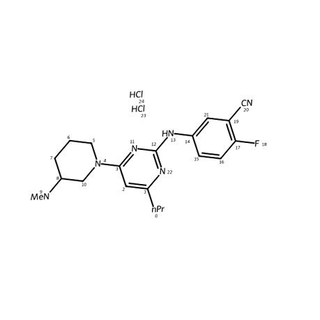 CCCc1cc(N2CCCC(NC)C2)nc(Nc2ccc(F)c(C#N)c2)n1.Cl.Cl